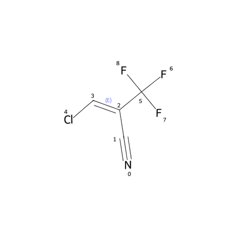 N#C/C(=C\Cl)C(F)(F)F